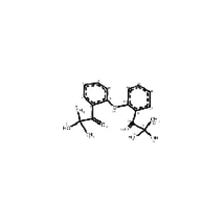 CC(C)(O)C(=O)c1ccccc1Oc1ccccc1C(=O)C(C)(C)O